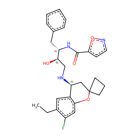 CCc1cc2c(cc1F)OC1(CCC1)C[C@@H]2NC[C@@H](O)[C@H](Cc1ccccc1)NC(=O)c1ccno1